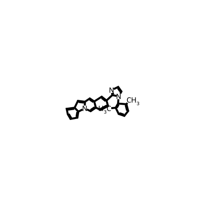 Cc1cccc(C)c1-n1ccnc1-c1ccc2cn3c(cc2c1)cc1ccccc13